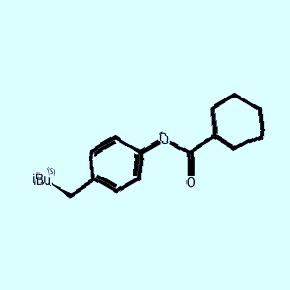 CC[C@H](C)Cc1ccc(OC(=O)C2CCCCC2)cc1